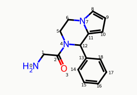 NCC(=O)N1CCn2cccc2C1c1ccccc1